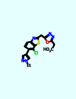 CCn1cc(-c2ccc3nc(Cc4nnc(CC(=O)O)o4)sc3c2Cl)cn1